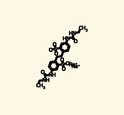 CCNC(=O)Nc1ccc(CCc2ccc(NC(=O)NCC)cc2S(=O)(=O)[O-])c(S(=O)(=O)[O-])c1.[Na+].[Na+]